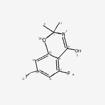 CC1(C)N=C(O)c2c(F)cc(I)cc2O1